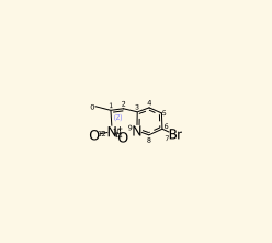 C/C(=C/c1ccc(Br)cn1)[N+](=O)[O-]